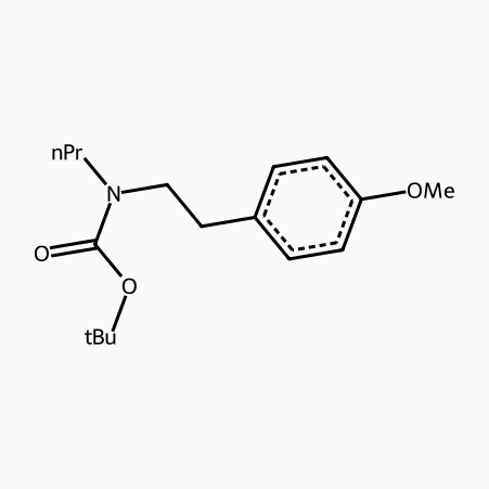 CCCN(CCc1ccc(OC)cc1)C(=O)OC(C)(C)C